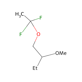 CCC(COC(C)(F)F)OC